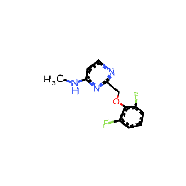 CNc1ccnc(COc2c(F)cccc2F)n1